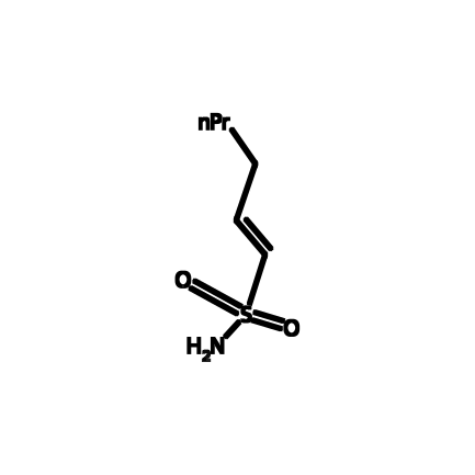 CCCCC=CS(N)(=O)=O